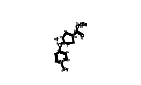 CC(C)[n+]1ccc(OC2CCN(C(=O)OC(C)(C)C)CC2)cc1.[I-]